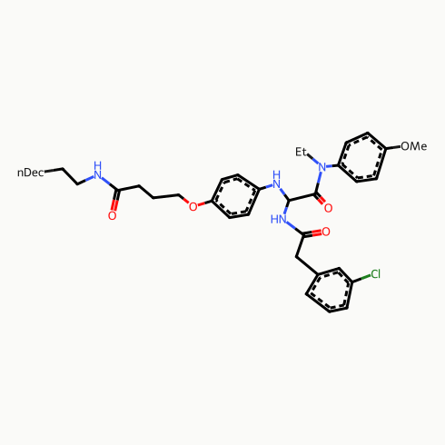 CCCCCCCCCCCCNC(=O)CCCOc1ccc(NC(NC(=O)Cc2cccc(Cl)c2)C(=O)N(CC)c2ccc(OC)cc2)cc1